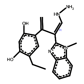 C=C(/C(=C\NN)c1nc2ccccc2n1C)c1cc(CC)c(O)cc1O